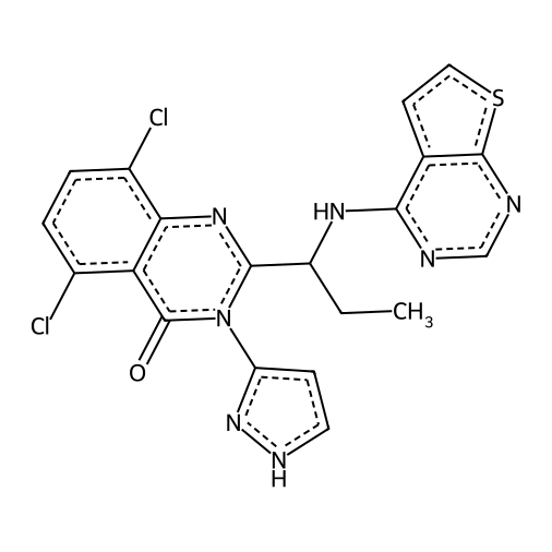 CCC(Nc1ncnc2sccc12)c1nc2c(Cl)ccc(Cl)c2c(=O)n1-c1cc[nH]n1